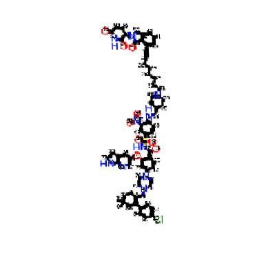 CC1(C)CCC(CN2CCN(c3ccc(C(=O)NS(=O)(=O)c4ccc(NCC5CCN(CCCCCCC#Cc6cccc7c6C(=O)N(C6CCC(=O)NC6=O)C7)CC5)c([N+](=O)[O-])c4)c(Oc4cnc5[nH]ccc5c4)c3)CC2)=C(c2ccc(Cl)cc2)C1